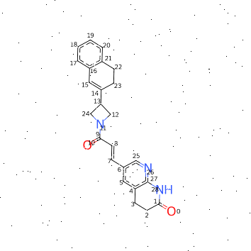 O=C1CCc2cc(/C=C/C(=O)N3CC(C4=Cc5ccccc5CC4)C3)cnc2N1